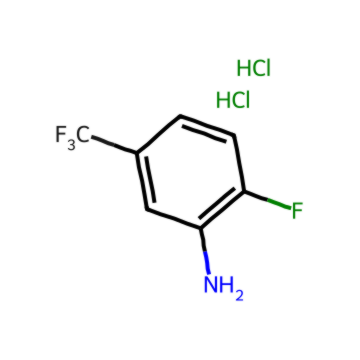 Cl.Cl.Nc1cc(C(F)(F)F)ccc1F